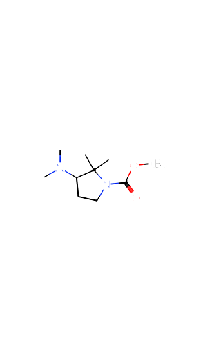 CN(C)C1CCN(C(=O)OC(C)(C)C)C1(C)C